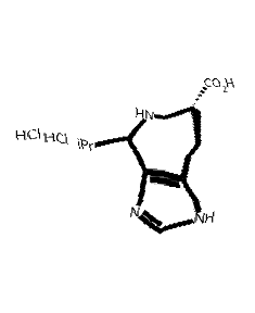 CC(C)C1N[C@H](C(=O)O)Cc2[nH]cnc21.Cl.Cl